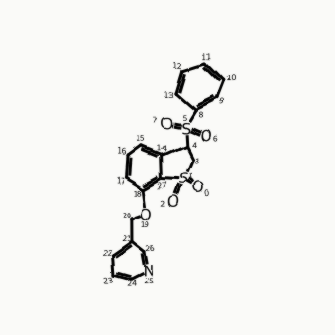 O=S1(=O)CC(S(=O)(=O)c2ccccc2)c2cccc(OCc3cccnc3)c21